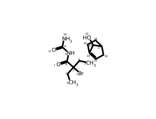 CCC(Br)(CC)C(=O)NC(N)=O.OC1C2=CCC1CC2